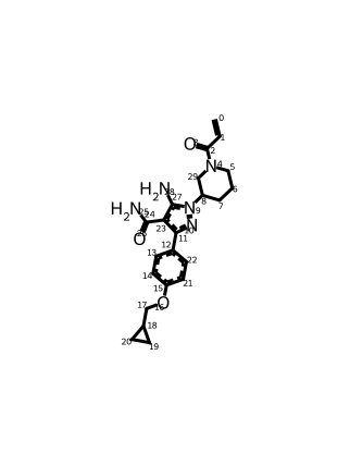 C=CC(=O)N1CCCC(n2nc(-c3ccc(OCC4CC4)cc3)c(C(N)=O)c2N)C1